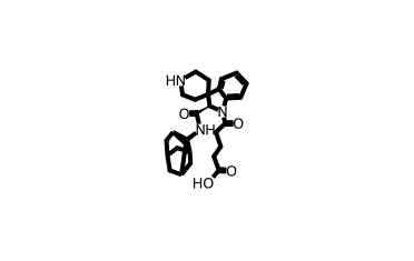 O=C(O)CCCC(=O)N1c2ccccc2C2(CCNCC2)[C@@H]1C(=O)NC1C2CC3CC(C2)CC1C3